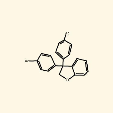 CC(=O)c1ccc(C2(c3ccc(C(C)=O)cc3)COc3ccccc32)cc1